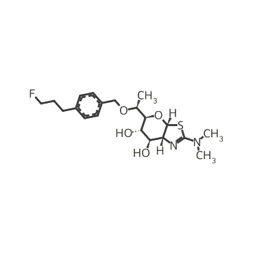 C[C@H](OCc1ccc(CCCF)cc1)[C@H]1O[C@@H]2SC(N(C)C)=N[C@@H]2[C@@H](O)[C@@H]1O